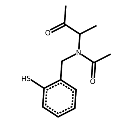 CC(=O)C(C)N(Cc1ccccc1S)C(C)=O